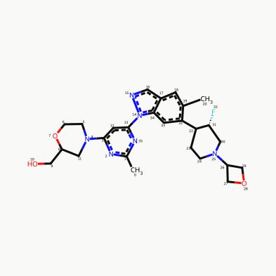 Cc1nc(N2CCOC(CO)C2)cc(-n2ncc3cc(C)c(C4CCN(C5COC5)C[C@H]4F)cc32)n1